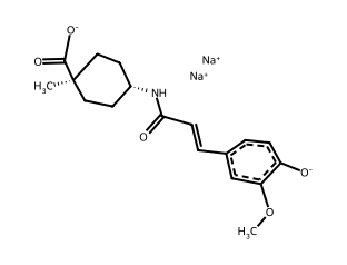 COc1cc(C=CC(=O)N[C@H]2CC[C@](C)(C(=O)[O-])CC2)ccc1[O-].[Na+].[Na+]